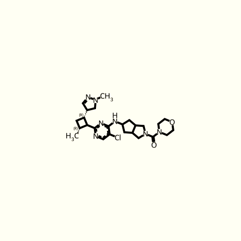 C[C@@H]1C[C@H](C2C=NN(C)C2)C1c1ncc(Cl)c(NC2CC3CN(C(=O)N4CCOCC4)CC3C2)n1